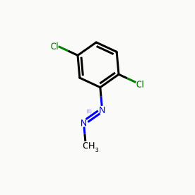 C/N=N/c1cc(Cl)ccc1Cl